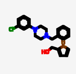 OCC1=CC=C[SH]1c1ccccc1CN1CCN(c2cccc(Cl)c2)CC1